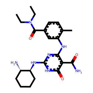 CCN(CC)C(=O)c1ccc(C)c(Nc2nc(N[C@H]3CCCC[C@@H]3N)[nH]c(=O)c2C(N)=O)c1